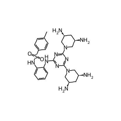 Cc1ccc(S(=O)(=O)Nc2ccccc2Nc2nc(N3C[C@H](N)C[C@H](N)C3)nc(N3C[C@H](N)C[C@H](N)C3)n2)cc1